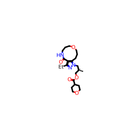 CCc1nn(C[C@@H](C)COC(=O)C2CCOCC2)c2c1C(=O)NCCCOCCC2